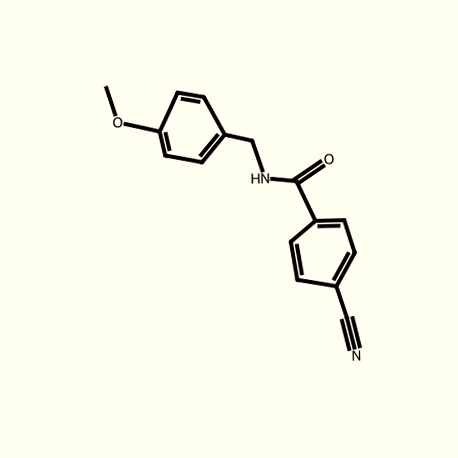 COc1ccc(CNC(=O)c2ccc(C#N)cc2)cc1